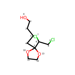 OCCCCC1(C(Cl)CCl)OCCO1